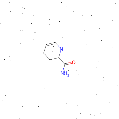 NC(=O)C1CCC=C[N]1